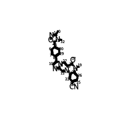 CC1=NOC(c2ccc(-c3cnc4cnc(C(=O)N(C)c5ccc(C#N)cc5)cn34)cc2)N1C